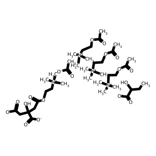 CC(=O)OCC[N+](C)(C)C.CC(=O)OCC[N+](C)(C)C.CC(=O)OCC[N+](C)(C)C.CC(=O)[O-].CCC(O)C(=O)[O-].C[N+](C)(C)CCOC(=O)CC(O)(CC(=O)[O-])C(=O)[O-]